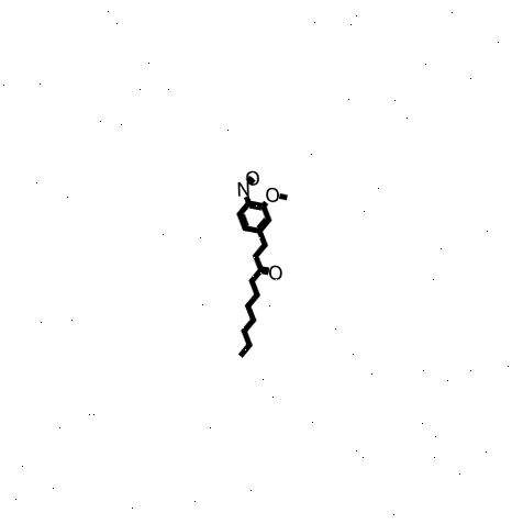 CCCCCCCC(=O)CCc1ccc(N=O)c(OC)c1